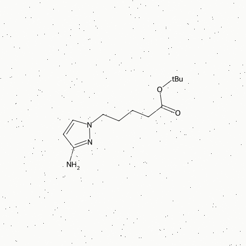 CC(C)(C)OC(=O)CCCCn1ccc(N)n1